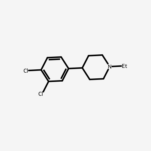 CCN1CCC(c2ccc(Cl)c(Cl)c2)CC1